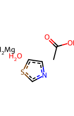 CC(=O)O.O.[MgH2].c1cscn1